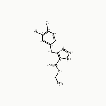 CCOC(=O)c1[nH]nnc1Sc1ccc(Cl)c(Cl)c1